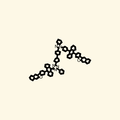 c1ccc(-c2nc(-c3ccc(-c4ccc(-c5nc6ccccc6n5-c5ccc(-c6c7ccccc7c(-c7ccc8c(c7)oc7cc9ccccc9cc78)c7ccccc67)cc5)cc4)cc3)nc(-c3c4ccccc4c(-c4ccc5c(c4)oc4cc6ccccc6cc45)c4ccccc34)n2)cc1